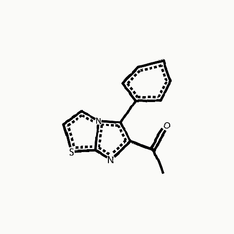 CC(=O)c1nc2sccn2c1-c1ccccc1